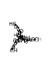 C#CCOc1ccc2cc(C(=O)OCC(O)Cn3c(=O)n(CC(O)COC(=O)c4ccc5cc(OCC#C)ccc5c4)c(=O)n(CC(O)COC(=O)c4ccc5cc(OCC#C)ccc5c4)c3=O)ccc2c1